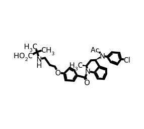 CC(=O)N(c1ccc(Cl)cc1)[C@@H]1C[C@H](C)N(C(=O)c2ccc(OCCCNC(C)(C)C(=O)O)cc2)c2ccccc21